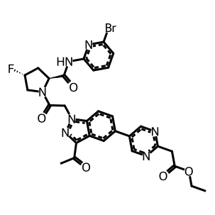 CCOC(=O)Cc1ncc(-c2ccc3c(c2)c(C(C)=O)nn3CC(=O)N2C[C@H](F)C[C@H]2C(=O)Nc2cccc(Br)n2)cn1